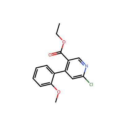 CCOC(=O)c1cnc(Cl)cc1-c1ccccc1OC